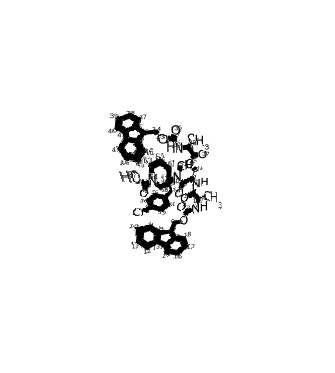 C[C@H](NC(=O)OCC1c2ccccc2-c2ccccc21)C(=O)N[C@@H](COC(=O)[C@H](C)NC(=O)OCC1c2ccccc2-c2ccccc21)C(=O)N(C)[C@@]1(Cc2ccc(Cl)cc2)CCCN(C(=O)O)C1